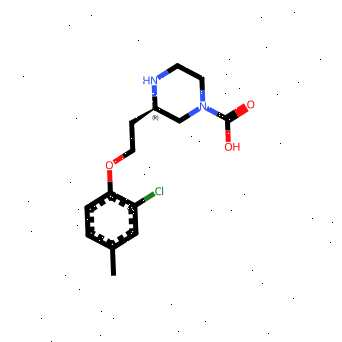 Cc1ccc(OCC[C@@H]2CN(C(=O)O)CCN2)c(Cl)c1